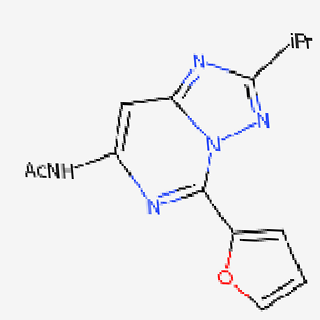 CC(=O)Nc1cc2nc(C(C)C)nn2c(-c2ccco2)n1